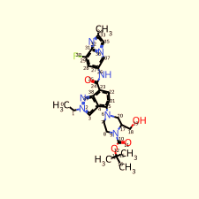 CCn1cc2c(N3CCN(C(=O)OC(C)(C)C)C(CO)C3)ccc(C(=O)Nc3cc(F)c4nc(C)cn4c3)c2n1